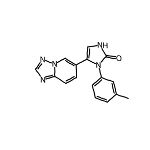 Cc1cccc(-n2c(-c3ccc4ncnn4c3)c[nH]c2=O)c1